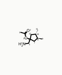 CC(=O)OC1(CN)C[C@H](C)[C@@H](C)C1